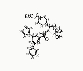 CCOC(=O)N1CCN(C(=O)[C@H](CP(=O)(O)O)NC(=O)c2cc(-c3ccsc3)cc(-c3ccccc3)n2)CC1